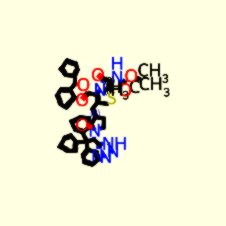 CC(C)(C)OC(=O)N[C@@H]1C(=O)N2C(C(=O)OC(c3ccccc3)c3ccccc3)=C(/C=C3\CCN(C(c4nnn[nH]4)C(c4ccccc4)(c4ccccc4)c4ccccc4)C3=O)CS[C@H]12